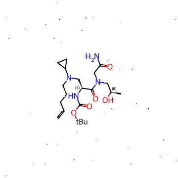 C=CCCCN(C[C@H](NC(=O)OC(C)(C)C)C(=O)N(CC(N)=O)C[C@@H](C)O)C1CC1